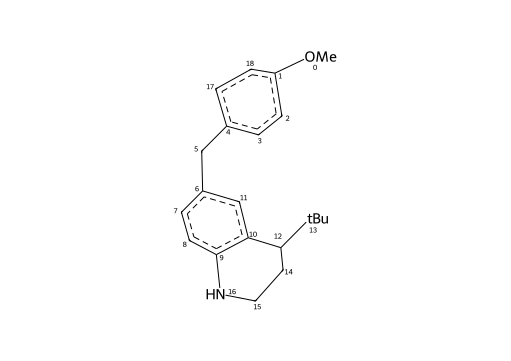 COc1ccc(Cc2ccc3c(c2)C(C(C)(C)C)CCN3)cc1